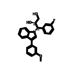 COc1cccc(-c2cn([C@@H](c3cccc(F)c3)[C@H](O)CO)c3ccccc23)c1